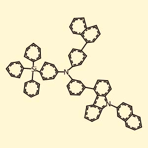 c1ccc([Si](c2ccccc2)(c2ccccc2)c2ccc(N(c3ccc(-c4cccc5ccccc45)cc3)c3cccc(-c4cccc5c4c4ccccc4n5-c4ccc5ccccc5c4)c3)cc2)cc1